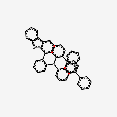 c1ccc(-c2ccc(-c3ccccc3N(c3ccccc3-c3cccc4c3oc3ccccc34)c3cccc4oc5ccccc5c34)cc2)cc1